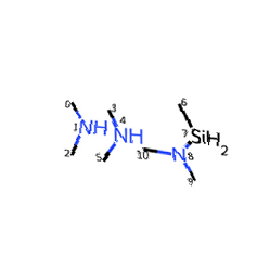 CNC.CNC.C[SiH2]N(C)C